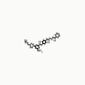 CCOCCN1CCN(c2cc(N)nc(NCc3ccc(CNCCCNC4CCOCC4)cc3)n2)CC1